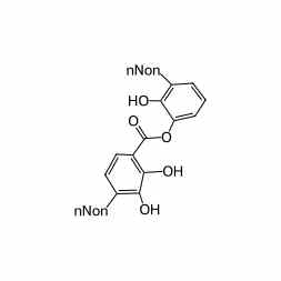 CCCCCCCCCc1cccc(OC(=O)c2ccc(CCCCCCCCC)c(O)c2O)c1O